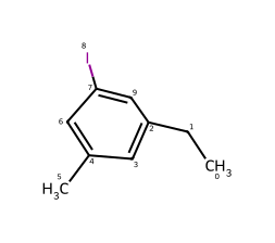 CCc1cc(C)cc(I)c1